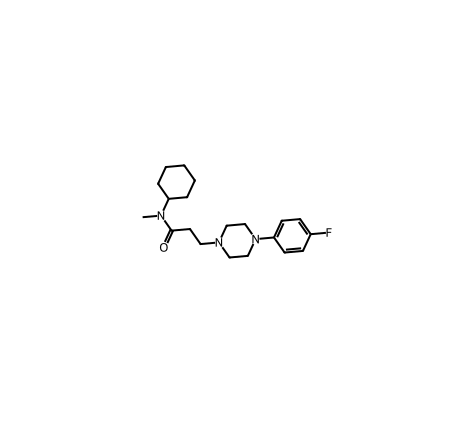 CN(C(=O)CCN1CCN(c2ccc(F)cc2)CC1)C1CCCCC1